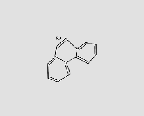 [Ru].c1ccc2c(c1)ccc1ccccc12